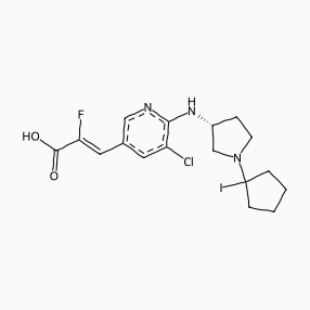 O=C(O)C(F)=Cc1cnc(N[C@@H]2CCN(C3(I)CCCC3)C2)c(Cl)c1